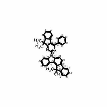 CC1(C)c2ccccc2-c2c(-c3ccccc3)nc(-n3c4ccccc4c4c5c(ccc43)-c3ccccc3C5(C)C)nc21